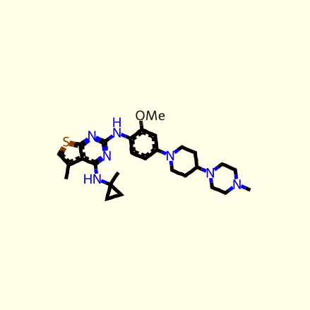 COc1cc(N2CCC(N3CCN(C)CC3)CC2)ccc1Nc1nc(NC2(C)CC2)c2c(C)csc2n1